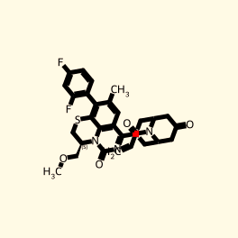 C=CC(=O)N1C2CC(=O)CC1CN(c1nc(=O)n3c4c(c(-c5ccc(F)cc5F)c(C)cc14)SC[C@@H]3COC)C2